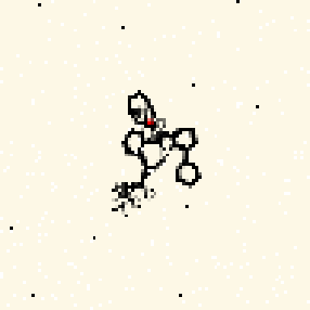 CN1CC2CCC(C1)N2C(=O)[C@@H]1CC=CC2=C3C(=C3C(=O)NS(=O)(=O)N(C)C)Cn3c(cc4cccc(C5CCCCC5)c43)[C@H]21